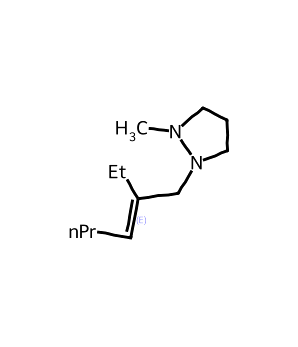 CCC/C=C(\CC)CN1CCCN1C